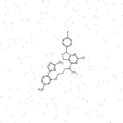 Cc1ncn(-c2ccc(N)cc2OCCCN(C)c2nc(Cl)nc3c2CCC3c2ccc(F)cc2)n1